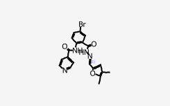 Cc1cc(/C=N/NC(=O)c2cc(Br)ccc2NC(=O)c2ccncc2)oc1C